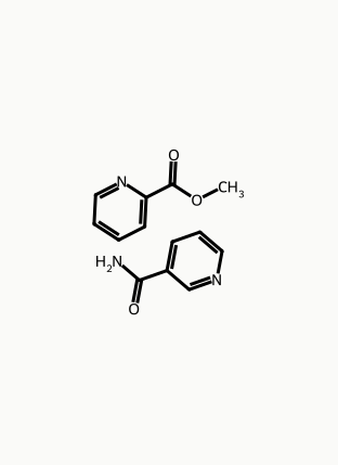 COC(=O)c1ccccn1.NC(=O)c1cccnc1